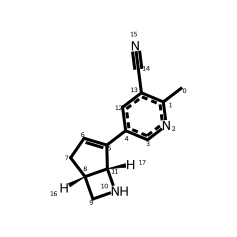 Cc1ncc(C2=CC[C@H]3CN[C@@H]23)cc1C#N